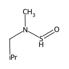 CC(C)CN(C)[SH]=O